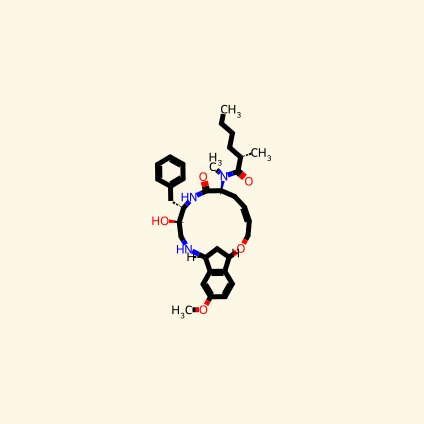 CCCC[C@H](C)C(=O)N(C)[C@H]1CC=CCO[C@@H]2C[C@H](NC[C@@H](O)[C@H](Cc3ccccc3)NC1=O)c1cc(OC)ccc12